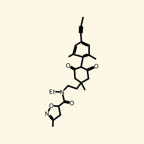 CC#Cc1cc(C)c(C2C(=O)CC(C)(CCN(CC)C(=O)C3CC(C)=NO3)CC2=O)c(C)c1